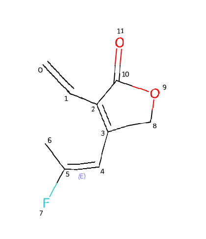 C=CC1=C(/C=C(\C)F)COC1=O